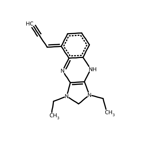 C#CC=c1cccc2c1=NC1=C(N2)N(CC)CN1CC